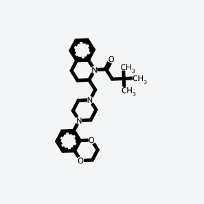 CC(C)(C)CC(=O)N1c2ccccc2CCC1CN1CCN(c2cccc3c2OCCO3)CC1